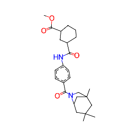 COC(=O)C1CCCC(C(=O)Nc2ccc(C(=O)N3CC4(C)CC3CC(C)(C)C4)cc2)C1